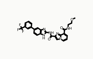 COCCNC(=O)c1cccn2cc(C(=O)Nc3nc4cc(-c5cccc(C(F)(F)F)c5)ccc4[nH]3)nc12